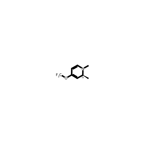 C[C@H]1C=C(OC(F)(F)F)C=CN1C